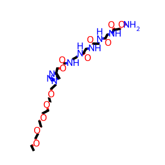 CCOCCOCCOCCOCCOCCn1cc(COC(=O)NCCNC(=O)CNC(=O)CNC(=O)CNC(=O)CON)nn1